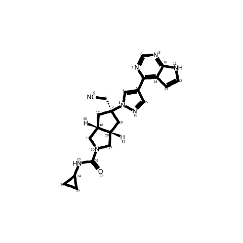 N#CC[C@@]1(n2cc(-c3ncnc4[nH]ccc34)cn2)C[C@H]2CN(C(=O)NC3CC3)C[C@H]2C1